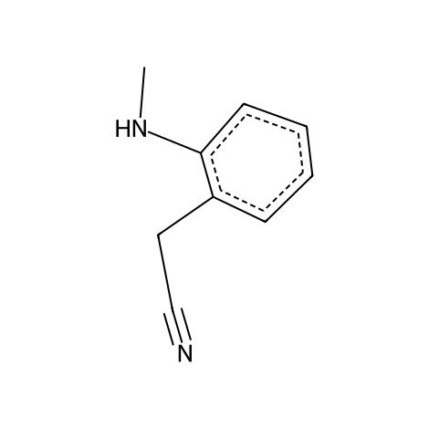 CNc1ccccc1CC#N